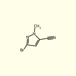 Cn1nc(Br)cc1C#N